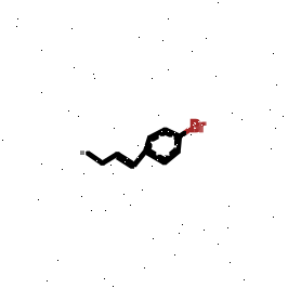 [CH2]C/C=C/c1ccc(Br)cc1